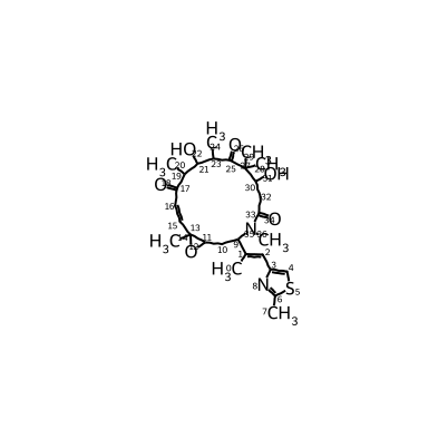 CC(=Cc1csc(C)n1)C1CC2OC2(C)C=CC(=O)C(C)C(O)C(C)C(=O)C(C)(C)C(O)CC(=O)N1C